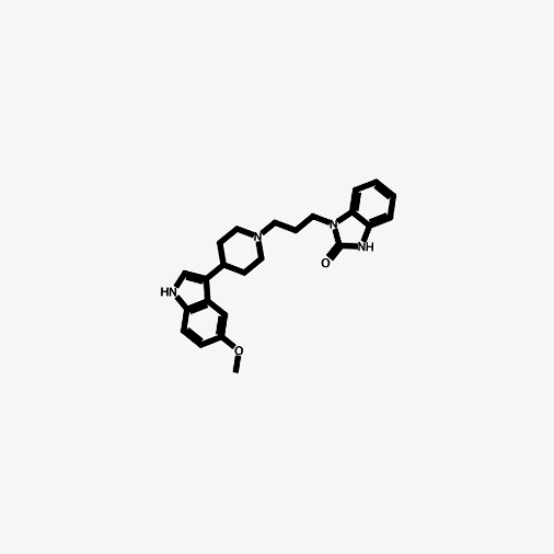 COc1ccc2[nH]cc(C3CCN(CCCn4c(=O)[nH]c5ccccc54)CC3)c2c1